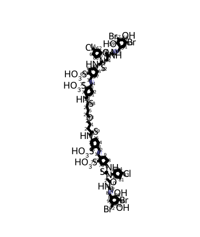 O=C(CN(C(=S)Nc1ccc(/C=C/c2ccc(NC(=S)CCCOCCCC(=S)Nc3ccc(/C=C/c4ccc(NC(=S)N(CC(=O)N/N=C/c5cc(Br)c(O)c(Br)c5O)c5ccc(Cl)cc5)cc4S(=O)(=O)O)c(S(=O)(=O)O)c3)cc2S(=O)(=O)O)c(S(=O)(=O)O)c1)c1ccc(Cl)cc1)N/N=C/c1cc(Br)c(O)c(Br)c1O